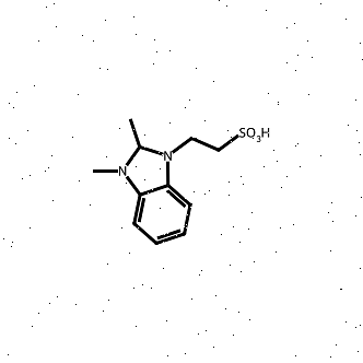 CC1N(C)c2ccccc2N1CCS(=O)(=O)O